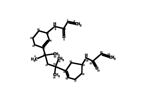 C=CC(=O)NC1C=C(C(C)(C)CC(C)(C)C2=CCCC(NC(=O)C=C)C2)CCC1